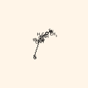 Cc1ncsc1-c1ccc([C@H](C)NC(=O)[C@@H]2CCCN2C(=O)C(NC(=O)CCCCCCCCCCN2CCCC2)C(C)(C)C)cc1